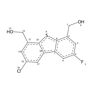 OCc1cc(F)cc2c1sc1c(CO)cc(Cl)cc12